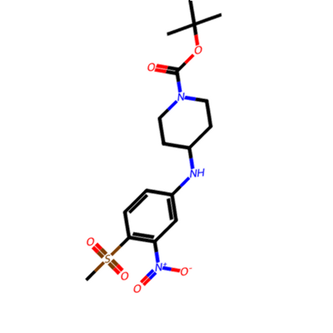 CC(C)(C)OC(=O)N1CCC(Nc2ccc(S(C)(=O)=O)c([N+](=O)[O-])c2)CC1